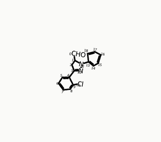 O=CC1CC(c2ccccc2Cl)=NN1c1ccccc1